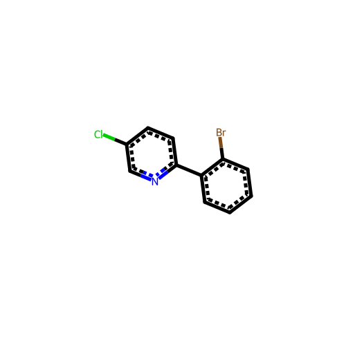 Clc1ccc(-c2ccccc2Br)nc1